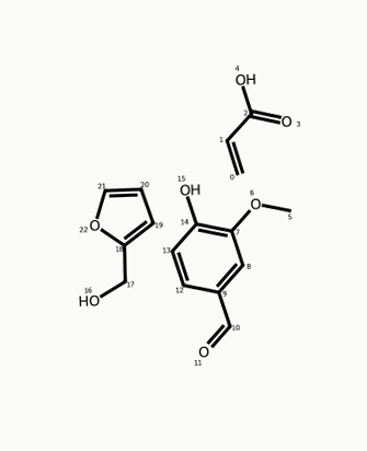 C=CC(=O)O.COc1cc(C=O)ccc1O.OCc1ccco1